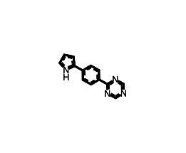 c1c[nH]c(-c2ccc(-c3ncncn3)cc2)c1